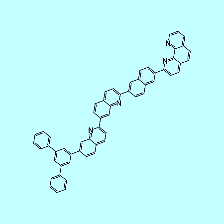 c1ccc(-c2cc(-c3ccccc3)cc(-c3ccc4ccc(-c5ccc6ccc(-c7ccc8cc(-c9ccc%10ccc%11cccnc%11c%10n9)ccc8c7)nc6c5)nc4c3)c2)cc1